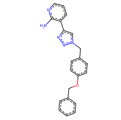 Nc1ncccc1-c1cn(Cc2ccc(OCc3ccccc3)cc2)nn1